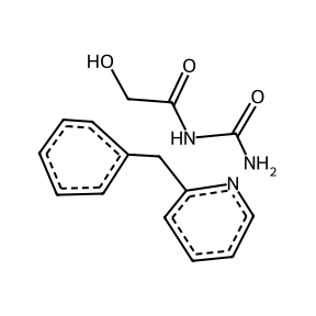 NC(=O)NC(=O)CO.c1ccc(Cc2ccccn2)cc1